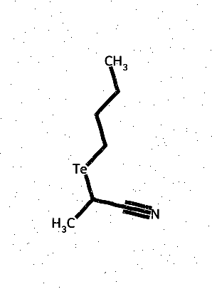 CCCC[Te]C(C)C#N